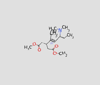 CCC(/C=C(\C)C(CC(=O)OC)CC(=O)OC)N(C)C